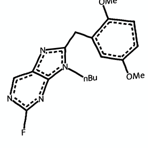 CCCCn1c(Cc2cc(OC)ccc2OC)nc2cnc(F)nc21